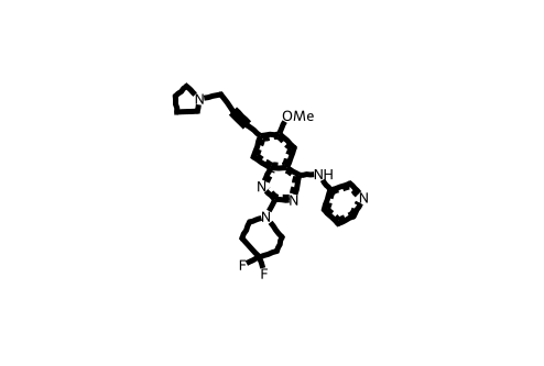 COc1cc2c(Nc3cccnc3)nc(N3CCC(F)(F)CC3)nc2cc1C#CCN1CCCC1